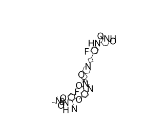 CCN(C)S(=O)(=O)Nc1ccc(F)c(Oc2ccc3ncn([C@H]4COC5(CCN(C6CC(c7ccc(NC8CCC(=O)NC8=O)cc7F)C6)CC5)C4)c(=O)c3c2)c1C#N